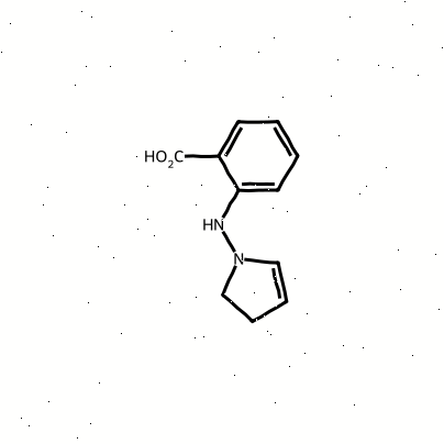 O=C(O)c1ccccc1NN1C=CCC1